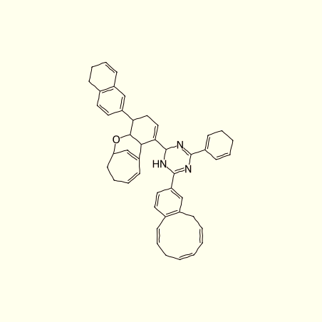 C1=CC(C2=NC(C3=CCC(c4ccc5c(c4)C=CCC5)C4OC5C=C(C=CCC5)C34)NC(c3ccc4c(c3)C/C=C\C=C/C/C=C\4)=N2)=CCC1